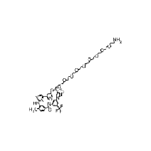 Cc1cn(-c2cc(NC(=O)c3ccc(C)c(Nc4nccc(-c5cncc(OCCOCCOCCOCCOCCOCCOCCOCCOCCOCCN)c5)n4)c3)cc(C(F)(F)F)c2)cn1